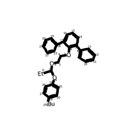 CCC(OCCOc1c(-c2ccccc2)cccc1-c1ccccc1)Oc1ccc(C(C)CC)cc1